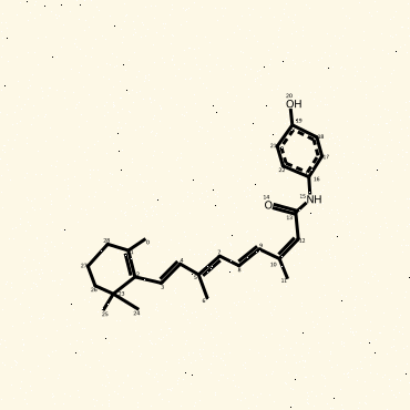 CC1=C(/C=C/C(C)=C/C=C/C(C)=C\C(=O)Nc2ccc(O)cc2)C(C)(C)CCC1